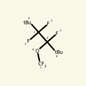 CC(C)(C)C(F)(F)C(F)(OC(F)(F)F)C(C)(C)C